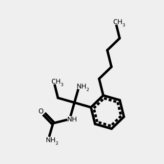 CCCCCc1ccccc1C(N)(CC)NC(N)=O